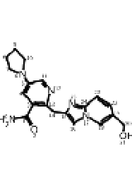 NC(=O)c1cc(N2CCCC2)cnc1Cc1cn2cc(CO)ccc2n1